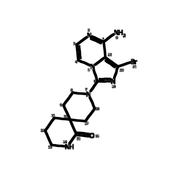 Nc1nccn2c(N3CCC4(CCCNC4=O)CC3)nc(Br)c12